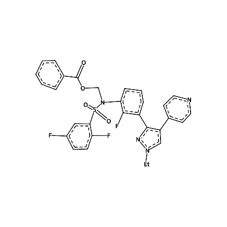 CCn1cc(-c2ccncc2)c(-c2cccc(N(COC(=O)c3ccccc3)S(=O)(=O)c3cc(F)ccc3F)c2F)n1